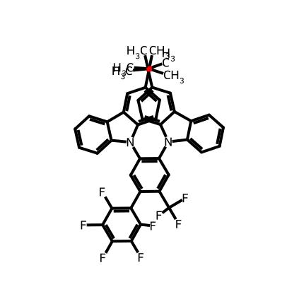 CC(C)(C)c1ccc2c(c1)c1ccccc1n2-c1cc(-c2c(F)c(F)c(F)c(F)c2F)c(C(F)(F)F)cc1-n1c2ccccc2c2cc(C(C)(C)C)ccc21